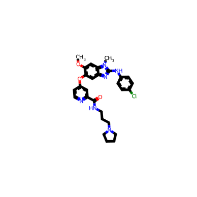 COc1cc2c(cc1Oc1ccnc(C(=O)NCCCN3CCCC3)c1)nc(Nc1ccc(Cl)cc1)n2C